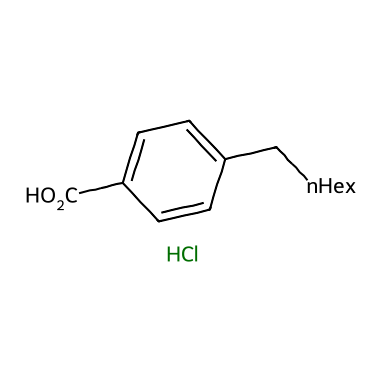 CCCCCCCc1ccc(C(=O)O)cc1.Cl